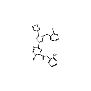 Oc1ccccc1CNc1nc(-c2cc(-c3ccon3)n(Cc3ccccc3F)n2)ncc1F